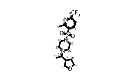 Cc1nc(C(F)(F)F)ccc1S(=O)(=O)N1CCN(C(C)C2CCOC2)CC1